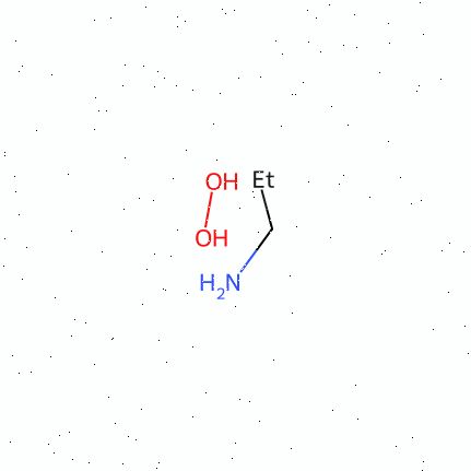 CCCN.OO